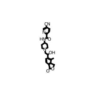 Cc1c(C(O)CN2CCC(NC(=O)c3ccc(C#N)cn3)CC2)ccc2c1COC2=O